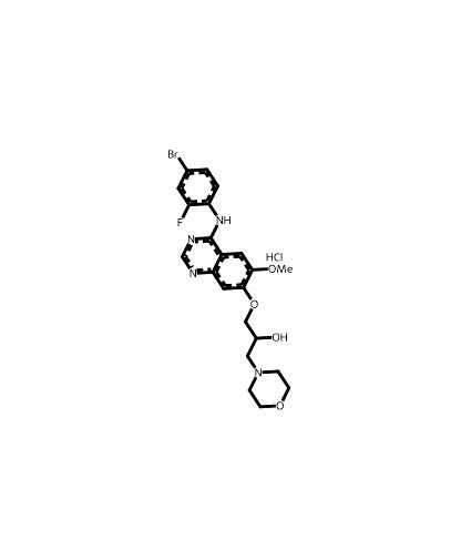 COc1cc2c(Nc3ccc(Br)cc3F)ncnc2cc1OCC(O)CN1CCOCC1.Cl